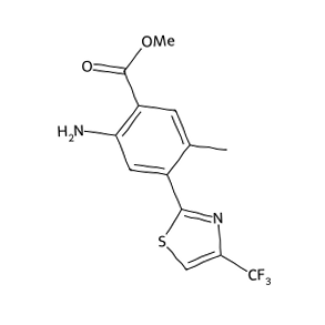 COC(=O)c1cc(C)c(-c2nc(C(F)(F)F)cs2)cc1N